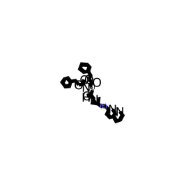 O=C(N[C@@H](CC(=O)N1CC(/C=C/c2ccc3cccnc3n2)C1)C(=O)OCc1ccccc1)OCc1ccccc1